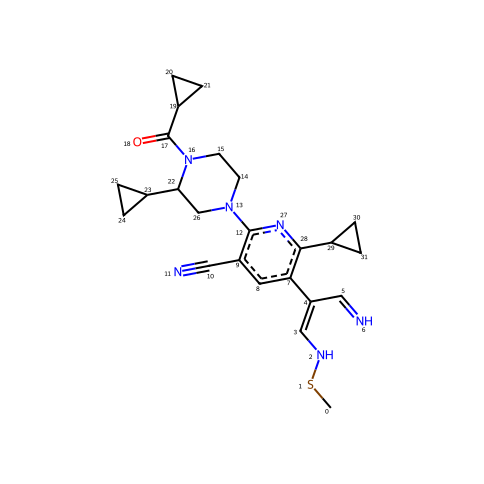 CSN/C=C(\C=N)c1cc(C#N)c(N2CCN(C(=O)C3CC3)C(C3CC3)C2)nc1C1CC1